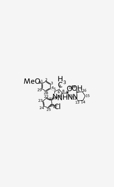 COc1ccc([C@@H]2[C@H](C)C(C(=O)NN3CCCCC3O)=NN2c2ccccc2Cl)cc1